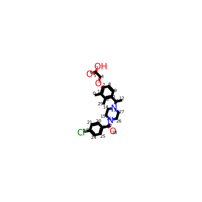 Cc1c(OCC(=O)O)ccc(C(C)N2CCN(C(=O)c3ccc(Cl)cc3)CC2)c1C